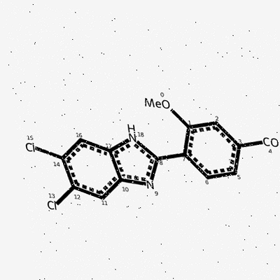 COc1cc(C(=O)O)ccc1-c1nc2cc(Cl)c(Cl)cc2[nH]1